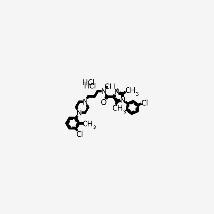 Cc1c(Cl)cccc1N1CCN(CCCN(C)C(=O)c2nc(C)n(-c3cccc(Cl)c3)c2C)CC1.Cl.Cl